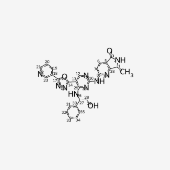 CC1NC(=O)c2ccc(Nc3ncc(-c4nnc(-c5cccnc5)o4)c(N[C@H](CO)c4ccccc4)n3)nc21